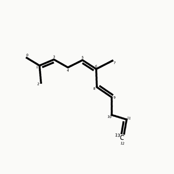 CC(C)=CCC=C(C)C=CCC=[13CH2]